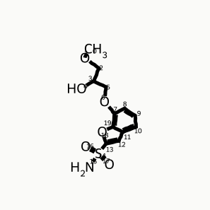 COCC(O)COc1cccc2cc(S(N)(=O)=O)oc12